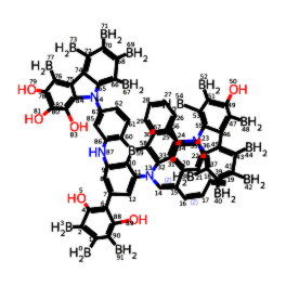 Bc1c(B)c(O)c(-c2cc3c4c(c2)N(/C=C(/C=C\C=C)c2cccc(-c5ccccc5)c2)c2cc(-n5c6c(B)c(B)c(B)c(B)c6c6c(B)c(O)c(B)c(B)c65)ccc2B4c2ccc(-n4c5c(B)c(B)c(B)c(B)c5c5c(B)c(O)c(O)c(O)c54)cc2N3)c(O)c1B